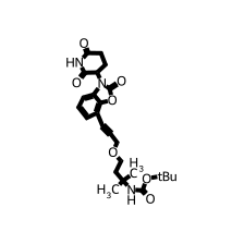 CC(C)(CCOCC#Cc1cccc2c1oc(=O)n2C1CCC(=O)NC1=O)NC(=O)OC(C)(C)C